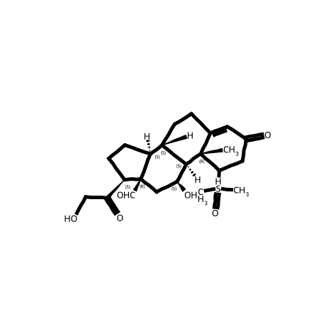 C[C@@]12C(=CC(=O)CC1[SH](C)(C)=O)CC[C@@H]1[C@@H]2[C@@H](O)C[C@]2(C=O)[C@@H](C(=O)CO)CC[C@@H]12